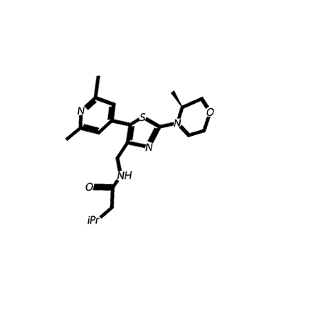 Cc1cc(-c2sc(N3CCOC[C@@H]3C)nc2CNC(=O)CC(C)C)cc(C)n1